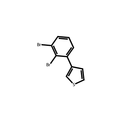 Brc1cccc(-c2c[c]sc2)c1Br